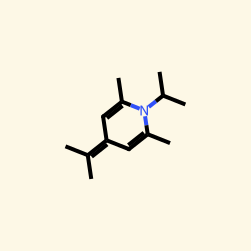 CC1=CC(=C(C)C)C=C(C)N1C(C)C